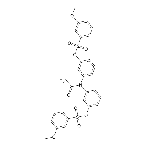 COc1cccc(S(=O)(=O)Oc2cccc(N(C(N)=O)c3cccc(OS(=O)(=O)c4cccc(OC)c4)c3)c2)c1